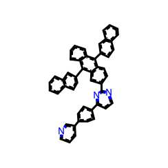 c1cncc(-c2ccc(-c3ccnc(-c4ccc5c(-c6ccc7ccccc7c6)c6ccccc6c(-c6ccc7ccccc7c6)c5c4)n3)cc2)c1